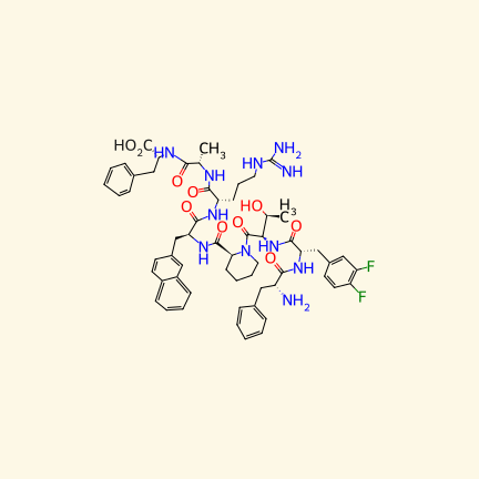 C[C@H](NC(=O)[C@H](CCCNC(=N)N)NC(=O)[C@H](Cc1ccc2ccccc2c1)NC(=O)[C@@H]1CCCCN1C(=O)[C@H](NC(=O)[C@H](Cc1ccc(F)c(F)c1)NC(=O)[C@H](N)Cc1ccccc1)[C@H](C)O)C(=O)N[C@H](Cc1ccccc1)C(=O)O